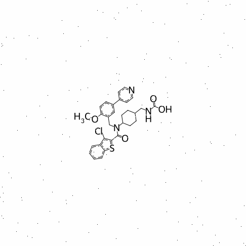 COc1ccc(-c2ccncc2)cc1CN(C(=O)c1sc2ccccc2c1Cl)C1CCC(CNC(=O)O)CC1